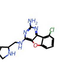 Nc1nc(NCC2NCC3CC32)c2oc3cccc(Cl)c3c2n1